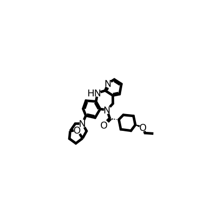 CCO[C@H]1CC[C@H](C(=O)N2Cc3cccnc3Nc3ccc(N4CC5CCC(C4)O5)cc32)CC1